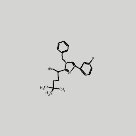 CC(C)(N)CC[C](c1nc(-c2cccc(F)c2)cn1Cc1ccccc1)C(C)(C)C